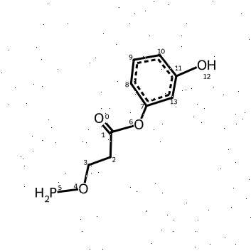 O=C(CCOP)Oc1cccc(O)c1